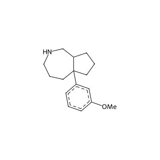 COc1cccc(C23CCCNCC2CCC3)c1